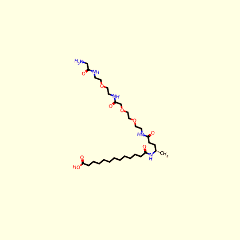 C[C@@H](CCC(=O)NCCOCCOCC(=O)NCCOCCNC(=O)CN)NC(=O)CCCCCCCCCCCC(=O)O